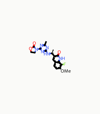 COc1ccc2cc([C@H](C)Nc3nc(C)nc(N4CCOC4=O)n3)c(=O)[nH]c2c1F